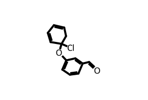 O=Cc1cccc(OC2(Cl)C=CC=CC2)c1